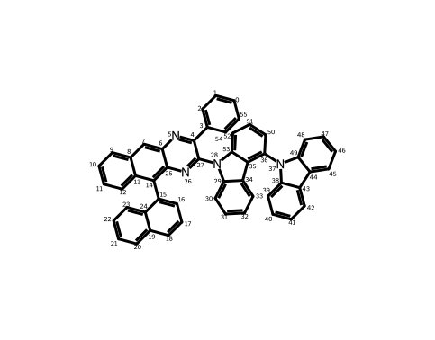 c1ccc(-c2nc3cc4ccccc4c(-c4cccc5ccccc45)c3nc2-n2c3ccccc3c3c(-n4c5ccccc5c5ccccc54)cccc32)cc1